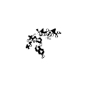 CC[C@@H]1C[C@]1(NC(=O)[C@@H]1C[C@@H](Oc2nccc3cc(OC)ccc23)CN1C(=O)[C@@H](NC(=O)OC(C)(C)C)C(C)(C)C)C(=O)NS(=O)(=O)OC1(C(=O)OC)CC1